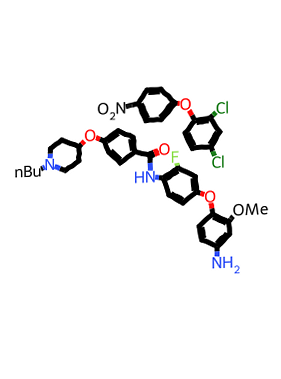 CCCCN1CCC(Oc2ccc(C(=O)Nc3ccc(Oc4ccc(N)cc4OC)cc3F)cc2)CC1.O=[N+]([O-])c1ccc(Oc2ccc(Cl)cc2Cl)cc1